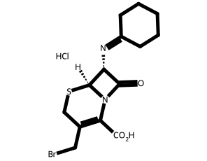 Cl.O=C(O)C1=C(CBr)CS[C@H]2[C@H](N=C3CCCCC3)C(=O)N12